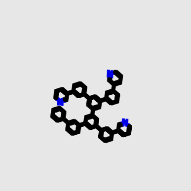 c1ccc(-c2cccc(-c3cc(-c4cccc(-c5cccnc5)c4)cc(-c4cc(-c5cccc(-c6cccnc6)c5)cc(-c5cccc(-c6cccnc6)c5)c4)c3)c2)cc1